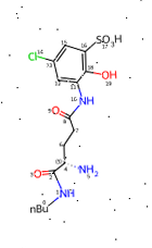 CCCCNC(=O)[C@@H](N)CCC(=O)Nc1cc(Cl)cc(S(=O)(=O)O)c1O